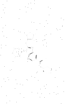 CC(C)C[C@H](NC(=O)c1ccc2c(c1)nc(CC1CCCC1)n2C1CCCCC1C)C(=O)O